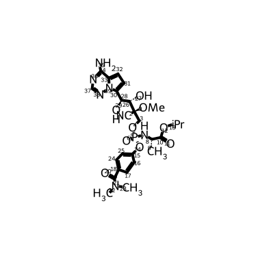 CO[C@](C#N)(COP(=O)(N[C@@H](C)C(=O)OC(C)C)Oc1ccc(C(=O)N(C)C)cc1)[C@@H](O)[C@@H](O)c1ccc2c(N)ncnn12